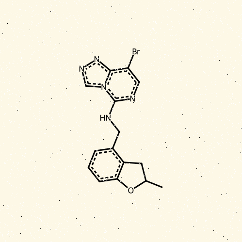 CC1Cc2c(CNc3ncc(Br)c4nncn34)cccc2O1